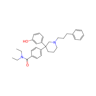 CCN(CC)C(=O)c1ccc(C2(c3cccc(O)c3)CCCN(CCCc3ccccc3)C2)cc1